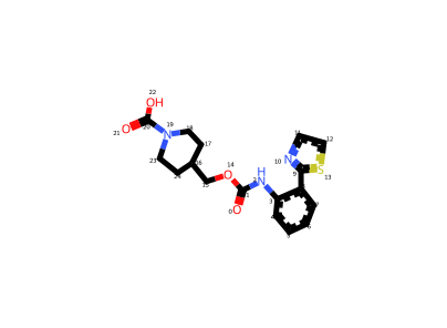 O=C(Nc1ccccc1-c1nccs1)OCC1CCN(C(=O)O)CC1